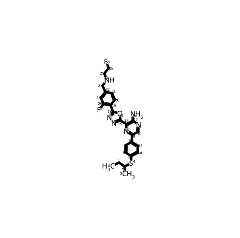 CCC(C)Sc1ccc(-c2cnc(N)c(-c3nnc(-c4ccc(CNCCF)cc4F)o3)n2)cc1